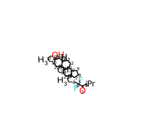 CC(C)C(=O)C(F)(F)C[C@H]1CCC2C3CC[C@H]4C[C@@](C)(O)CC[C@]4(C)C3CC[C@@]21C